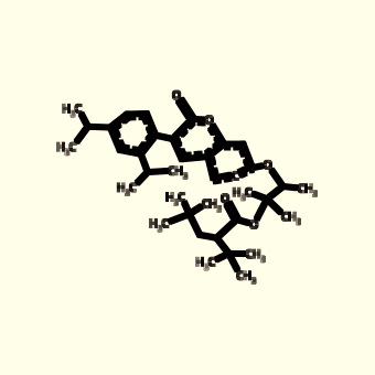 CC(C)c1ccc(-c2cc3ccc(OC(C)C(C)(C)OC(=O)C(CC(C)(C)C)C(C)(C)C)cc3oc2=O)c(C(C)C)c1